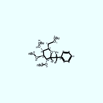 CCCCOC[C@H]1OC(F)(C(F)(F)c2ccccc2)[C@H](OCCCC)[C@@H](OCCCC)[C@@H]1OCCCC